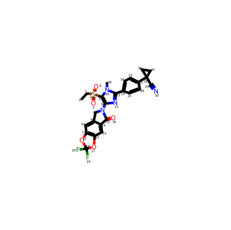 CCS(=O)(=O)c1c(N2Cc3cc4c(cc3C2=O)OC(F)(F)O4)nc(-c2ccc(C3(C#N)CC3)cc2)n1C